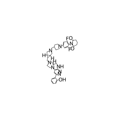 O=C1CCCC(=O)N1c1c(F)cc(N2CCC(CN3C[C@@H]4C(CN5CCN6c7cc(-c8ccccc8O)nnc7NC[C@H]6C5)[C@@H]4C3)CC2)cc1F